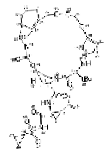 C=C[C@@H]1C[C@]1(NC(=O)[C@@H]1C[C@@H]2CN1C(=O)[C@H](C(C)(C)C)Nc1nc(cs1)CCCCCC1=C3CN(CC3=CCC1)C(=O)O2)C(=O)NS(=O)(=O)C1CC1